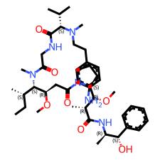 CC[C@H](C)[C@@H]([C@@H](CC(=O)N1CCC[C@H]1[C@H](OC)[C@@H](C)C(=O)N[C@H](C)[C@@H](O)c1ccccc1)OC)N(C)C(=O)CNC(=O)[C@H](C(C)C)N(C)CCc1ccc(N)cc1